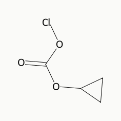 O=C(OCl)OC1CC1